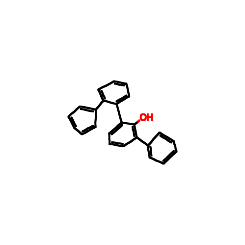 Oc1c(-c2ccccc2)cccc1-c1ccccc1-c1ccccc1